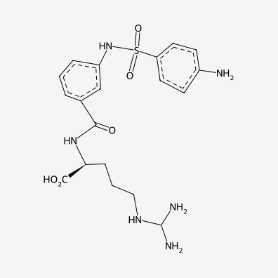 Nc1ccc(S(=O)(=O)Nc2cccc(C(=O)N[C@@H](CCCNC(N)N)C(=O)O)c2)cc1